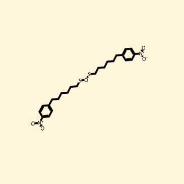 O=[N+]([O-])c1ccc(CCCCCCSOSCCCCCCc2ccc([N+](=O)[O-])cc2)cc1